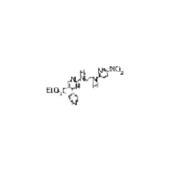 CCOC(=O)c1cnc(NCCNc2ccc([N+](=O)[O-])cn2)nc1-c1ccncc1